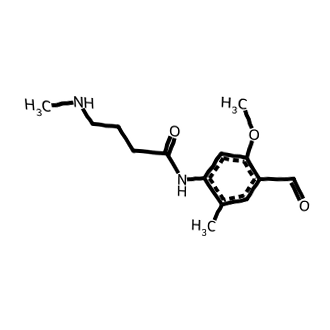 CNCCCC(=O)Nc1cc(OC)c(C=O)cc1C